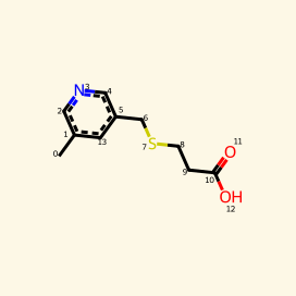 Cc1cncc(CSCCC(=O)O)c1